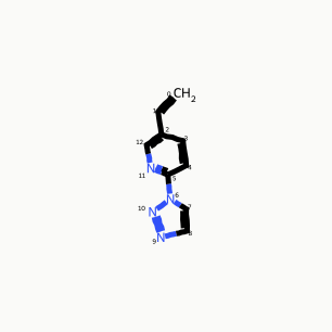 C=Cc1ccc(-n2ccnn2)nc1